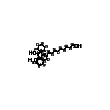 CCC(O)C1(C2c3ccccc3CN2CCCCCCCCCO)CCCCC1